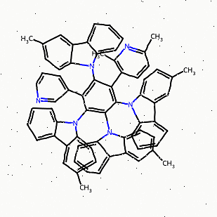 Cc1ccc2c(c1)c1ccccc1n2-c1c(-c2cccnc2)c(-n2c3ccccc3c3cc(C)ccc32)c(-n2c3ccccc3c3cc(C)ccc32)c(-n2c3ccccc3c3cc(C)ccc32)c1-c1ccc(C)nc1C